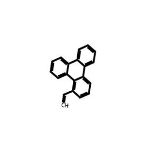 [CH]=Cc1[c]ccc2c3ccccc3c3ccccc3c12